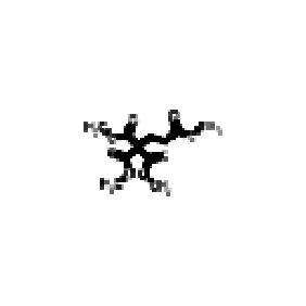 COC(=O)CCC(C(=O)OC)(C(=O)OC)C(=O)OC